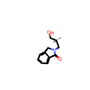 C[C@@H](CO)CN1Cc2ccccc2C1=O